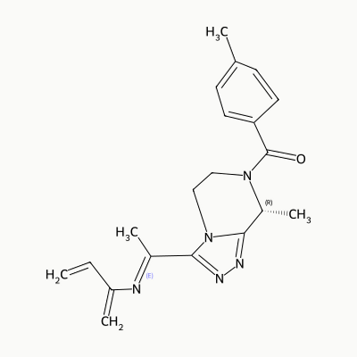 C=CC(=C)/N=C(\C)c1nnc2n1CCN(C(=O)c1ccc(C)cc1)[C@@H]2C